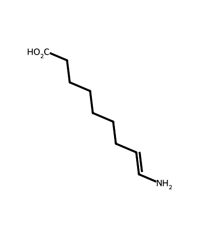 NC=CCCCCCCC(=O)O